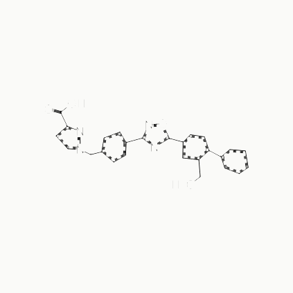 CCc1cc(-c2nc(-c3ccc(Cn4ccc(C(=O)O)n4)cc3)no2)ccc1-c1ccccc1